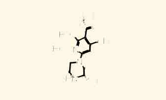 COC(=O)c1c(C)cc(N2CCN[C@H](C)C2)nc1C.Cl